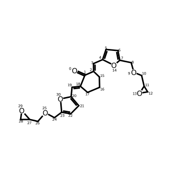 O=C1/C(=C/c2ccc(COCC3CO3)o2)CCC/C1=C\c1ccc(COCC2CO2)o1